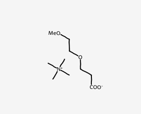 COCCOCCC(=O)[O-].C[N+](C)(C)C